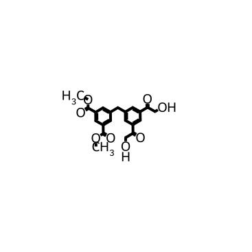 COC(=O)c1cc(Cc2cc(C(=O)CO)cc(C(=O)CO)c2)cc(C(=O)OC)c1